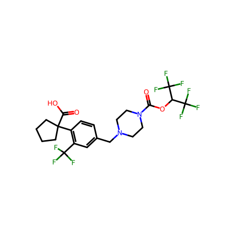 O=C(OC(C(F)(F)F)C(F)(F)F)N1CCN(Cc2ccc(C3(C(=O)O)CCCC3)c(C(F)(F)F)c2)CC1